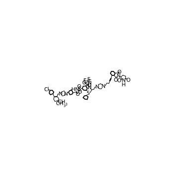 CC1(C)CCC(c2ccc(Cl)cc2)=C(CN2CCN(c3ccc(C(=O)NS(=O)(=O)c4ccc(NC(CCN5CCN(CCCC#Cc6cccc7c6C(=O)N(C6CCC(=O)NC6=O)C7=O)CC5)CSc5ccccc5)c(S(=O)(=O)C(F)(F)F)c4)cc3)CC2)C1